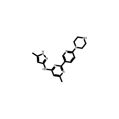 Cc1cc(Nc2cc(C)[nH]n2)nc(-c2ccc(N3CCNCC3)nc2)n1